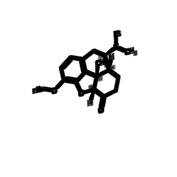 CCCCOc1ccc2c3c1O[C@H]1C(=O)CC[C@@H]([C@H](N(C)CC)C2)[C@@]31C